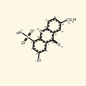 CCCS(=O)(=O)c1cc(CC)cc2c(=O)c3cc(C(=O)O)ccc3oc12